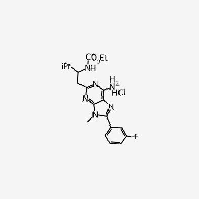 CCOC(=O)NC(Cc1nc(N)c2nc(-c3cccc(F)c3)n(C)c2n1)C(C)C.Cl